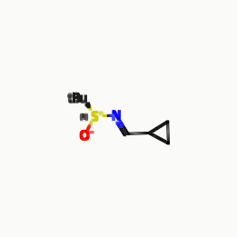 CC(C)(C)[S@+]([O-])N=CC1CC1